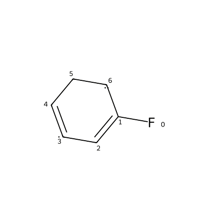 FC1=C[C]=CC[C]1